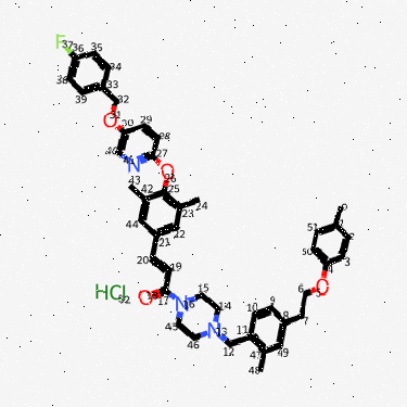 Cc1ccc(OCCc2ccc(CN3CCN(C(=O)C=Cc4cc(C)c(Oc5ccc(OCc6ccc(F)cc6)cn5)c(C)c4)CC3)c(C)c2)cc1.Cl